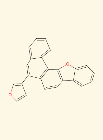 c1ccc2c(c1)cc(-c1ccoc1)c1ccc3c4ccccc4oc3c12